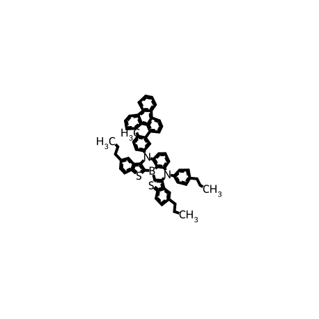 CCCc1ccc(N2c3cccc4c3B(c3sc5ccc(CCC)cc5c32)c2sc3ccc(CCC)cc3c2N4c2ccc(C)c(-c3cccc4c5ccccc5c5ccccc5c34)c2)cc1